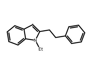 CCn1c(CCc2ccccc2)[c]c2ccccc21